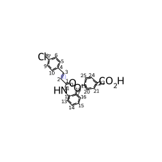 O=C(/C=C/c1ccc(Cl)cc1)Nc1ccccc1Oc1ccc(C(=O)O)cc1